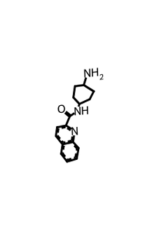 NC1CCC(NC(=O)c2ccc3ccccc3n2)CC1